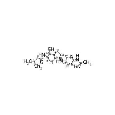 C=C(C)CC(=O)Nc1ccc2c(c1C)CCC2Nc1ccc(NC(C)=N)nc1